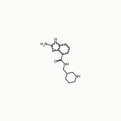 Nc1nc2c(C(=O)NCC3CCCNC3)cccc2[nH]1